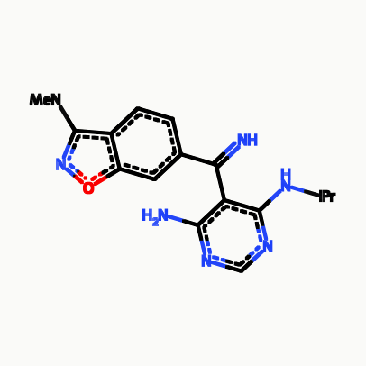 CNc1noc2cc(C(=N)c3c(N)ncnc3NC(C)C)ccc12